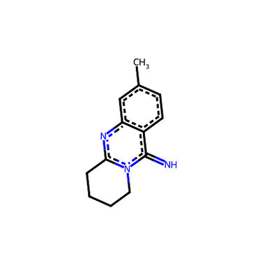 Cc1ccc2c(=N)n3c(nc2c1)CCCC3